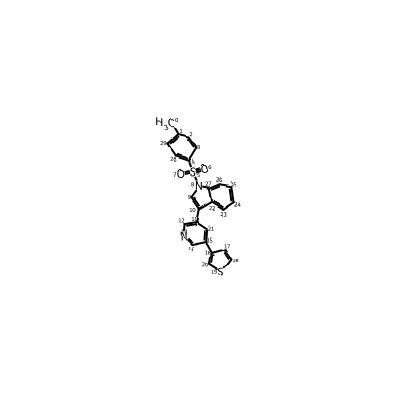 Cc1ccc(S(=O)(=O)n2cc(-c3cncc(-c4ccsc4)c3)c3ccccc32)cc1